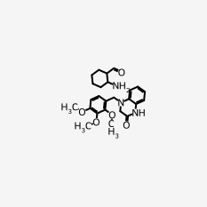 COc1ccc(CN2CC(=O)Nc3ccccc32)c(OC)c1OC.NC1CCCCC1C=O